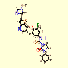 CCn1cnc(-c2cc3nccc(Oc4ccc(NC(=S)N5CCN(c6ccccc6)C5=O)cc4F)c3s2)c1